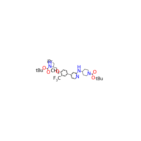 CC(C)C[C@@](C)(COc1ccc(-c2ccnc(NC3CCN(C(=O)OC(C)(C)C)CC3)c2)cc1C(F)(F)F)NC(=O)OC(C)(C)C